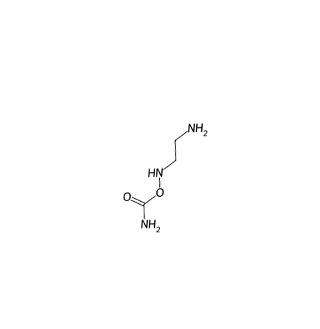 NCCNOC(N)=O